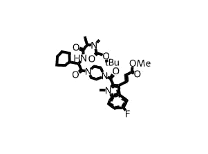 COC(=O)/C=C/c1c(C(=O)N2CCN(C(=O)C(NC(=O)C(C)N(C)C(=O)OC(C)(C)C)C3CCCCC3)CC2)n(C)c2ccc(F)cc12